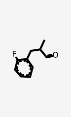 CC(C=O)Cc1ccccc1F